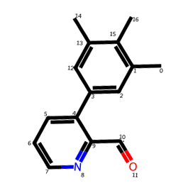 Cc1cc(-c2cccnc2[C]=O)cc(C)c1C